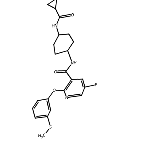 CSc1cccc(Oc2ncc(F)cc2C(=O)NC2CCC(NC(=O)C3CC3)CC2)c1